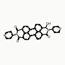 O=C1c2ccc3c4ccc5c6c(ccc(c7ccc(c2c37)C(=O)N1c1ccncc1)c64)C(O)N(c1ccncc1)C5=O